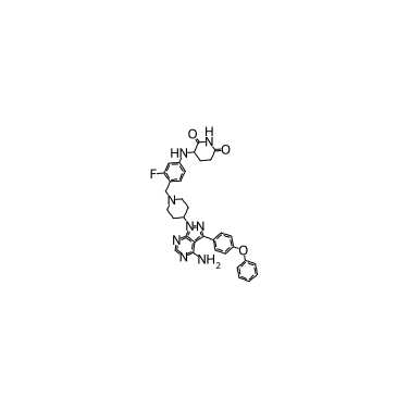 Nc1ncnc2c1c(-c1ccc(Oc3ccccc3)cc1)nn2C1CCN(Cc2ccc(NC3CCC(=O)NC3=O)cc2F)CC1